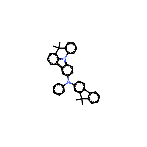 CC1(C)c2ccccc2-c2ccc(N(c3ccccc3)c3ccc4c(c3)c3cccc5c3n4-c3ccccc3C5(C)C)cc21